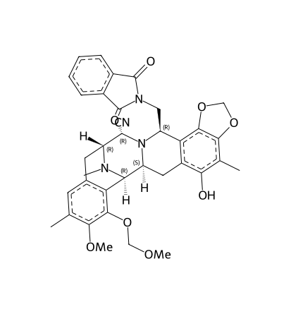 COCOc1c(OC)c(C)cc2c1[C@@H]1[C@@H]3Cc4c(O)c(C)c5c(c4[C@H](CN4C(=O)c6ccccc6C4=O)N3[C@@H](C#N)[C@@H](C2)N1C)OCO5